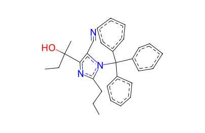 CCCc1nc(C(C)(O)CC)c(C#N)n1C(c1ccccc1)(c1ccccc1)c1ccccc1